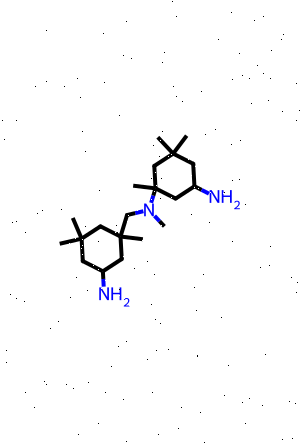 CN(CC1(C)CC(N)CC(C)(C)C1)C1(C)CC(N)CC(C)(C)C1